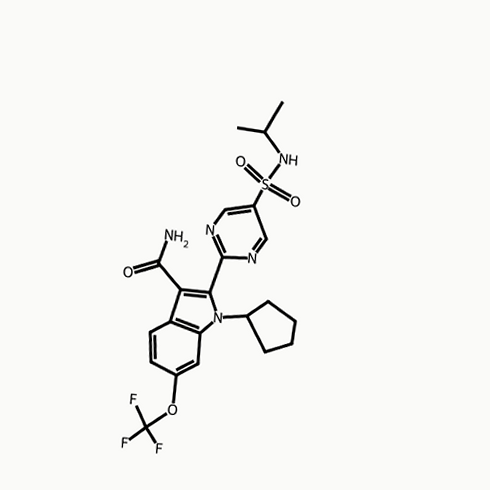 CC(C)NS(=O)(=O)c1cnc(-c2c(C(N)=O)c3ccc(OC(F)(F)F)cc3n2C2CCCC2)nc1